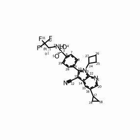 C[C@@H](NS(=O)(=O)c1ccc(-c2c(C#N)c3cc(C4CC4)cnc3n2C2CCC2)cc1)C(F)(F)F